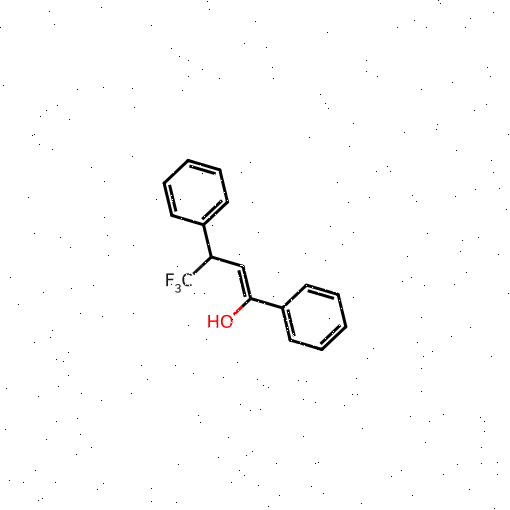 O/C(=C\C(c1ccccc1)C(F)(F)F)c1ccccc1